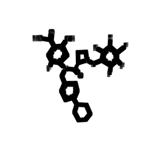 O=C(O)c1cc(F)c(N(Cc2ccc(C3CCCCC3)cc2)C(=O)[C@H]2CCN2Sc2c(F)c(F)c(F)c(F)c2F)cc1O